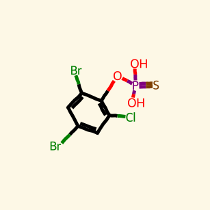 OP(O)(=S)Oc1c(Cl)cc(Br)cc1Br